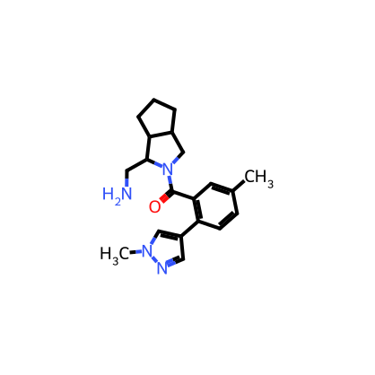 Cc1ccc(-c2cnn(C)c2)c(C(=O)N2CC3CCCC3C2CN)c1